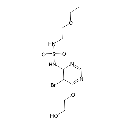 CCOCCNS(=O)(=O)Nc1ncnc(OCCO)c1Br